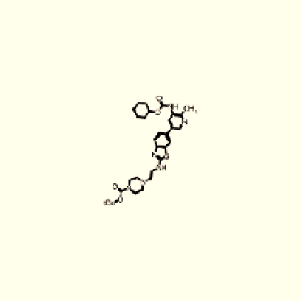 Cc1ncc(-c2ccc3nc(NCCN4CCN(C(=O)OC(C)(C)C)CC4)sc3c2)cc1NC(=O)OC1CCCCC1